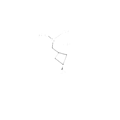 CC(C)[C@H]1C[C@@](O)(CN(C)C)C1